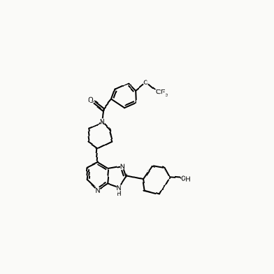 O=C(c1ccc(OC(F)(F)F)cc1)N1CCC(c2ccnc3[nH]c(C4CCC(O)CC4)nc23)CC1